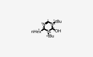 CCCCCCC1N=CN(C(C)(C)C)C(O)N1C(C)(C)C